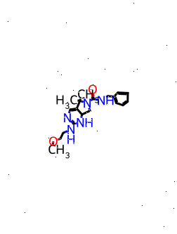 COCCNC1=NC=C2C(CN(C(=O)NCc3ccccc3)C2(C)C)N1